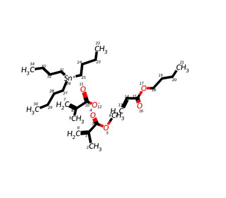 C=C(C)C(=O)OC.C=C(C)C(=O)[O-].C=CC(=O)OCCCC.CCC[CH2][Sn+]([CH2]CCC)[CH2]CCC